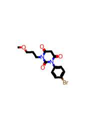 COCCCN1C(=O)CC(=O)N(c2ccc(Br)cc2)C1=O